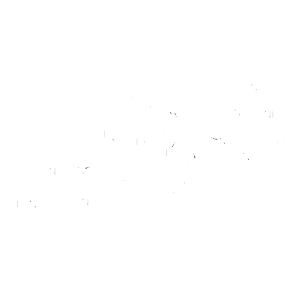 CO[C@H]1[C@H]2OP(=O)(O)OC[C@H]3O[C@@H](n4cnc5c(N)ccnc54)[C@H](O)[C@@H]3OP(=O)(O)OC[C@H]1O[C@H]2n1cnc2c(=O)[nH]c(N)nc21